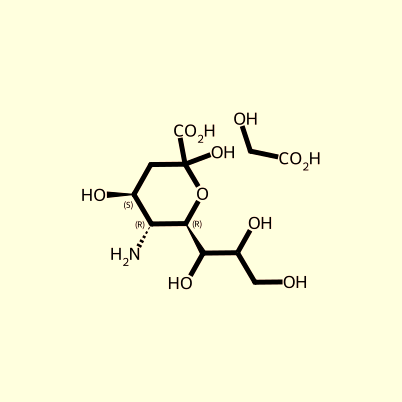 N[C@@H]1[C@@H](O)CC(O)(C(=O)O)O[C@H]1C(O)C(O)CO.O=C(O)CO